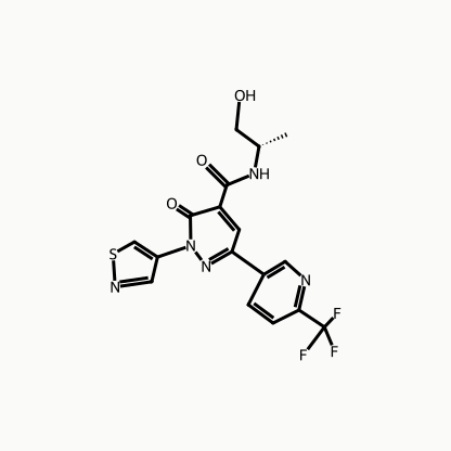 C[C@@H](CO)NC(=O)c1cc(-c2ccc(C(F)(F)F)nc2)nn(-c2cnsc2)c1=O